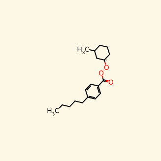 CCCCCc1ccc(C(=O)OO[C]2CCCC(C)C2)cc1